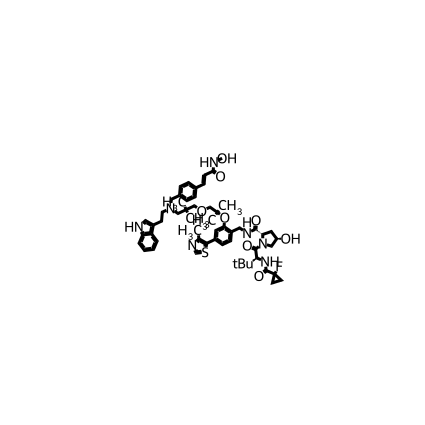 Cc1ncsc1-c1ccc(CNC(=O)[C@@H]2C[C@@H](O)CN2C(=O)[C@@H](NC(=O)C2(F)CC2)C(C)(C)C)c(OC(C)(C)COCC(C)(C)CN(CCc2c[nH]c3ccccc23)Cc2ccc(/C=C/C(=O)NO)cc2)c1